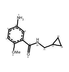 COc1ccc(N)cc1C(=O)NCC1CC1